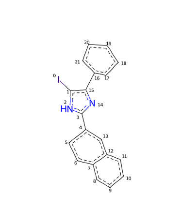 Ic1[nH]c(-c2ccc3ccccc3c2)nc1-c1ccccc1